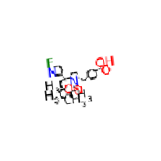 C[C@H](c1ccc(F)nc1)[C@H]1CC[C@@H](Cc2ccc(C(=O)O)cc2)N1C(=O)OC(C)(C)C